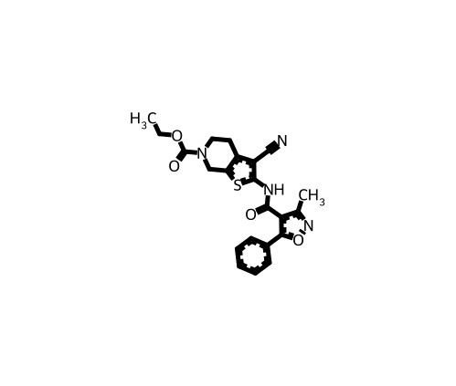 CCOC(=O)N1CCc2c(sc(NC(=O)c3c(C)noc3-c3ccccc3)c2C#N)C1